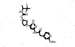 COc1cc(CC(=O)Nc2cc([C@H]3CC[C@@H](OC(=O)NC(C)C(C)(F)F)C3)[nH]n2)ccn1